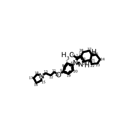 Cc1c2c(nn1-c1ccc(OCCCN3CCCC3)cc1)[C@H]1CCCC[C@@H]1CC2